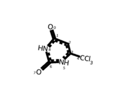 O=c1cc(C(Cl)(Cl)Cl)[nH]c(=O)[nH]1